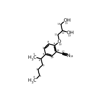 CCCCC(C)c1ccc(OCC(O)CO)c(C#N)c1